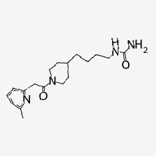 Cc1cccc(CC(=O)N2CCC(CCCCNC(N)=O)CC2)n1